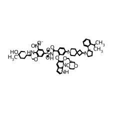 CC(C)c1ccccc1[C@H]1CCCN1C1CC2(CCN(c3ccc(C(=O)NS(=O)(=O)c4cc5c(c([N+](=O)[O-])c4)N[C@@H]([C@H]4CC[C@](C)(O)CC4)CO5)c(Oc4cc5cc[nH]c5nc4OC[C@H]4COCCO4)c3)CC2)C1